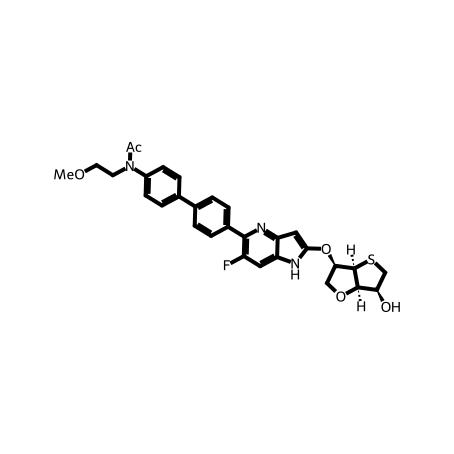 COCCN(C(C)=O)c1ccc(-c2ccc(-c3nc4cc(O[C@@H]5CO[C@H]6[C@@H]5SC[C@H]6O)[nH]c4cc3F)cc2)cc1